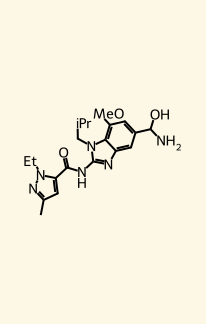 CCn1nc(C)cc1C(=O)Nc1nc2cc(C(N)O)cc(OC)c2n1CC(C)C